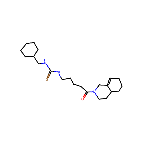 O=C(CCCCNC(=S)NCC1CCCCC1)N1CCC2CCCC=C2C1